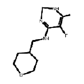 CC1=C(F)C(NCC2CCOCC2)=NCN1